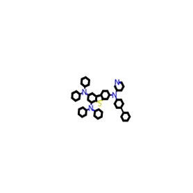 c1ccc(-c2ccc(N(c3cccnc3)c3ccc4c(c3)sc3c(N(c5ccccc5)c5ccccc5)cc(N(c5ccccc5)c5ccccc5)cc34)cc2)cc1